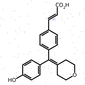 O=C(O)/C=C/c1ccc(C(=C2CCOCC2)c2ccc(O)cc2)cc1